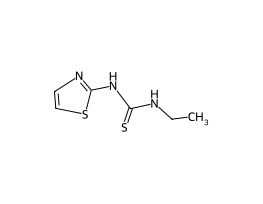 CCNC(=S)Nc1nccs1